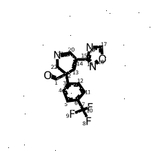 O=CC1(c2ccc(C(F)(F)F)cc2)C=C(c2ncon2)C=NC1